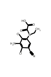 CCN(C(=O)C(=O)O)c1cc(C#N)c(Cl)c(N)c1Cl